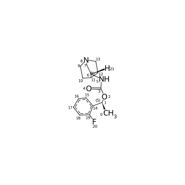 C[C@H](OC(=O)N[C@H]1CN2CCC1CC2)c1ccccc1F